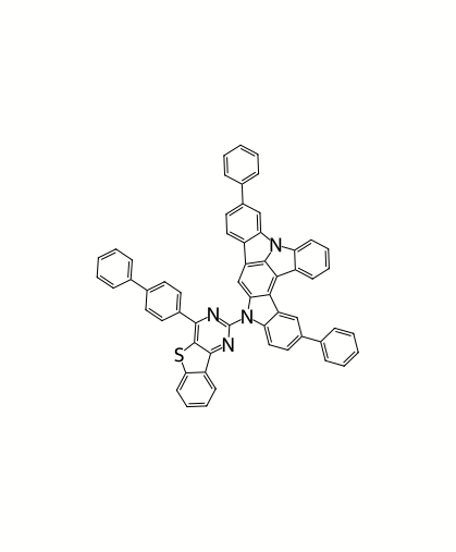 c1ccc(-c2ccc(-c3nc(-n4c5ccc(-c6ccccc6)cc5c5c6c7ccccc7n7c8cc(-c9ccccc9)ccc8c(cc54)c67)nc4c3sc3ccccc34)cc2)cc1